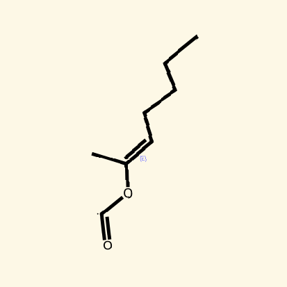 CCCC/C=C(\C)O[C]=O